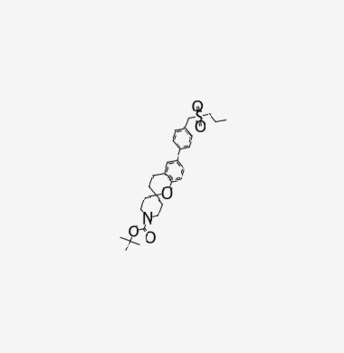 CCCS(=O)(=O)Cc1ccc(-c2ccc3c(c2)CCC2(CCN(C(=O)OC(C)(C)C)CC2)O3)cc1